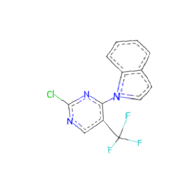 FC(F)(F)c1cnc(Cl)nc1-n1ccc2ccccc21